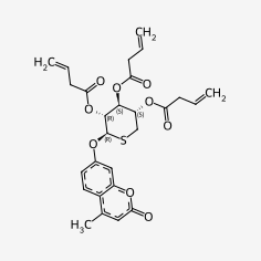 C=CCC(=O)O[C@@H]1[C@@H](OC(=O)CC=C)[C@H](OC(=O)CC=C)CS[C@H]1Oc1ccc2c(C)cc(=O)oc2c1